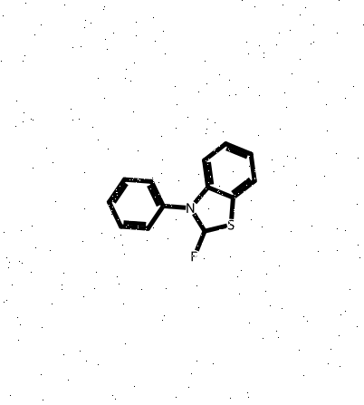 FC1Sc2ccccc2N1c1ccccc1